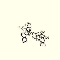 C#C[C@H](O)[C@@]1(n2ccc(=O)[nH]c2=O)O[C@H](COP(=S)(N[C@@H](C)C(=O)OC(C)C)Oc2cccc3ccccc23)[C@H]1O